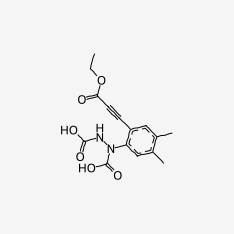 CCOC(=O)C#Cc1cc(C)c(C)cc1N(NC(=O)O)C(=O)O